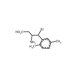 CCC(c1cc(C)ccc1C)C(N)CC(=O)O